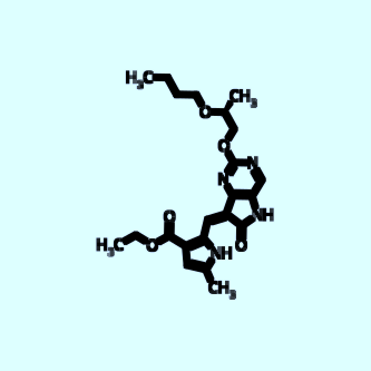 CCCCO[C@@H](C)COc1ncc2c(n1)/C(=C/c1[nH]c(C)cc1C(=O)OCC)C(=O)N2